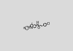 Cc1cc(N2CCCN(C)CC2)nc2ccc(NC(=O)C=Cc3ccc(Cl)cc3)cc12